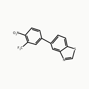 O=[N+]([O-])c1ccc(-c2ccc3scnc3c2)cc1C(F)(F)F